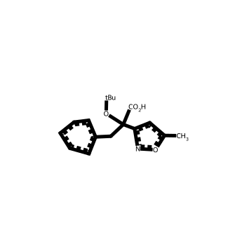 Cc1cc(C(Cc2ccccc2)(OC(C)(C)C)C(=O)O)no1